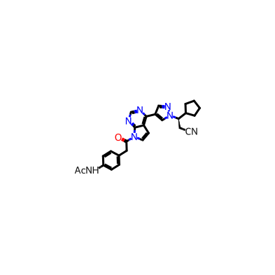 CC(=O)Nc1ccc(CC(=O)n2ccc3c(-c4cnn([C@H](CC#N)C5CCCC5)c4)ncnc32)cc1